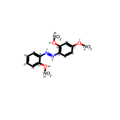 O=[N+]([O-])Oc1ccc(N=Nc2ccccc2O[N+](=O)[O-])c(O[N+](=O)[O-])c1